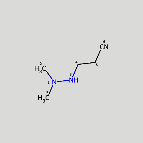 CN(C)NCCC#N